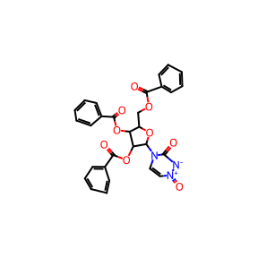 O=C(OCC1OC(n2cc[n+](=O)[n-]c2=O)C(OC(=O)c2ccccc2)C1OC(=O)c1ccccc1)c1ccccc1